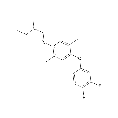 CCN(C)C=Nc1cc(C)c(Oc2ccc(F)c(F)c2)cc1C